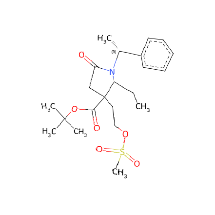 CCC1N([C@H](C)c2ccccc2)C(=O)CC1(CCOS(C)(=O)=O)C(=O)OC(C)(C)C